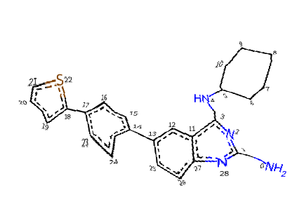 Nc1nc(NC2CCCCC2)c2cc(-c3ccc(-c4cccs4)cc3)ccc2n1